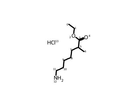 CCOC(=O)C(C)CCCCCN.Cl